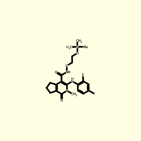 Cn1c(Nc2ccc(I)cc2F)c(C(=O)NOCCO[Si](C)(C)C(C)(C)C)c2c(c1=O)CCC2